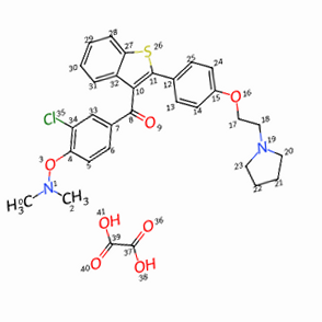 CN(C)Oc1ccc(C(=O)c2c(-c3ccc(OCCN4CCCC4)cc3)sc3ccccc23)cc1Cl.O=C(O)C(=O)O